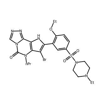 CCCn1c(=O)n2cnnc2c2[nH]c(-c3cc(S(=O)(=O)N4CCN(CC)CC4)ccc3OCC)c(Br)c21